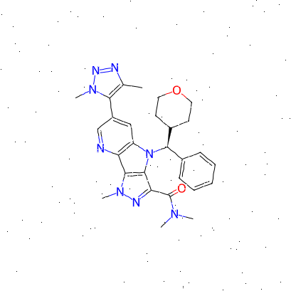 Cc1nnn(C)c1-c1cnc2c3c(c(C(=O)N(C)C)nn3C)n([C@H](c3ccccc3)C3CCOCC3)c2c1